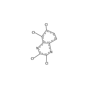 Clc1ccc2nc(Cl)c(Cl)nc2c1Cl